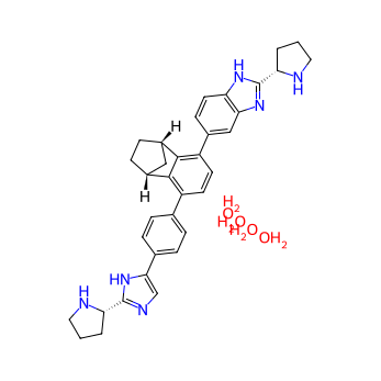 O.O.O.O.c1cc(-c2ccc(-c3ccc4[nH]c([C@@H]5CCCN5)nc4c3)c3c2[C@@H]2CC[C@H]3C2)ccc1-c1cnc([C@@H]2CCCN2)[nH]1